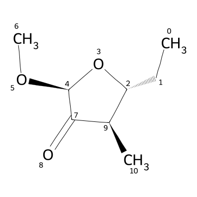 CC[C@H]1O[C@H](OC)C(=O)[C@@H]1C